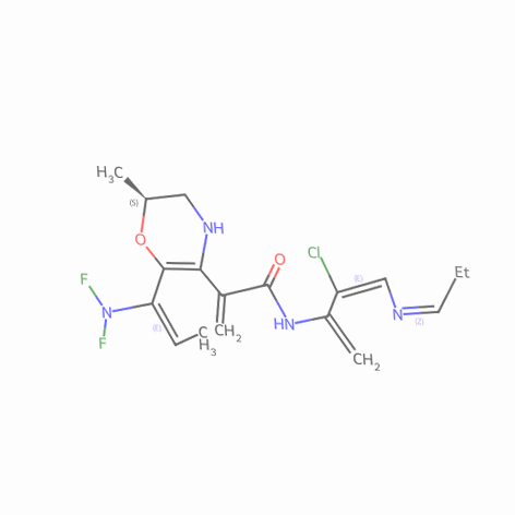 C=C(C(=O)NC(=C)/C(Cl)=C\N=C/CC)C1=C(/C(=C\C)N(F)F)O[C@@H](C)CN1